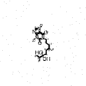 CC(C)C(O)(O)CC[C@H](C)CCCn1c(=O)c2c(ncn2C)n(C)c1=O